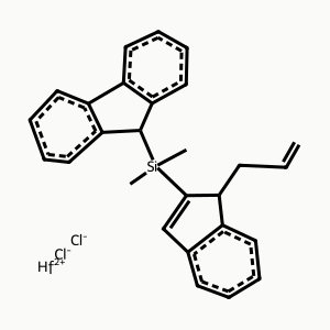 C=CCC1C([Si](C)(C)C2c3ccccc3-c3ccccc32)=Cc2ccccc21.[Cl-].[Cl-].[Hf+2]